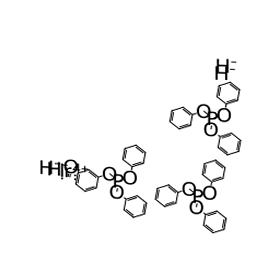 [C]=O.[H-].[H-].[H-].[H-].[Ir+4].c1ccc(OP(Oc2ccccc2)Oc2ccccc2)cc1.c1ccc(OP(Oc2ccccc2)Oc2ccccc2)cc1.c1ccc(OP(Oc2ccccc2)Oc2ccccc2)cc1